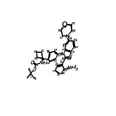 CC(C)(C)OC(=O)NC1(c2ccc(-n3c(-c4cccnc4N)nc4ccc(N5CCOCC5)nc43)cc2)CCC1